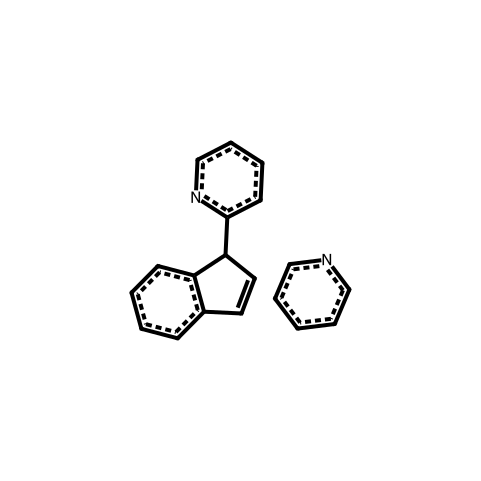 C1=CC(c2ccccn2)c2ccccc21.c1ccncc1